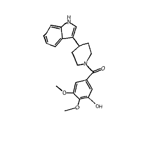 COc1cc(C(=O)N2CCC(c3c[nH]c4ccccc34)CC2)cc(O)c1OC